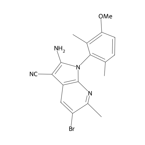 COc1ccc(C)c(-n2c(N)c(C#N)c3cc(Br)c(C)nc32)c1C